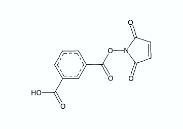 O=C(O)c1cccc(C(=O)ON2C(=O)C=CC2=O)c1